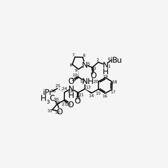 CCC(C)NCC(=O)N1CCC[C@H]1C(=O)N[C@@H](Cc1ccccc1)C(=O)N[C@@H](CC(C)C)C(=O)[C@@]1(C)CO1